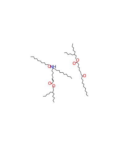 CCCCCCCCCCC(=O)CCCCCCC(=O)OCCC(CCCCC)CCCCC.CCCCCCCCCCONC(CCCCC=CC(=O)OCCC(CCCCC)CCCCC)CCCCCCCCCC